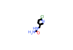 NC(=O)NCc1ccc(Cl)nc1